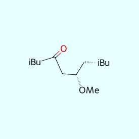 CCC(C)C(=O)C[C@H](C[C@@H](C)CC)OC